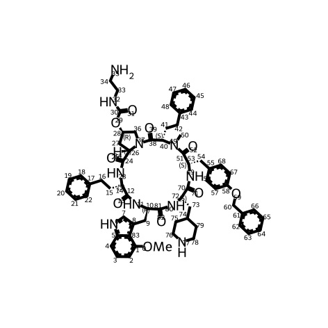 COc1cccc2[nH]cc(C[C@H]3NC(=O)[C@H](CCc4ccccc4)NC(=O)[C@@H]4C[C@@H](OC(=O)NCCN)CN4C(=O)[C@H](CCc4ccccc4)N(C)C(=O)[C@H](Cc4ccc(OCc5ccccc5)cc4)NC(=O)[C@H](CC4CCNCC4)NC3=O)c12